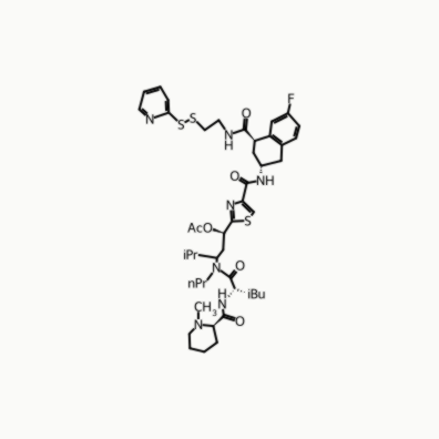 CCCN(C(=O)[C@@H](NC(=O)[C@H]1CCCCN1C)[C@@H](C)CC)C(C[C@@H](OC(C)=O)c1nc(C(=O)N[C@H]2Cc3ccc(F)cc3[C@H](C(=O)NCCSSc3ccccn3)C2)cs1)C(C)C